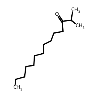 CCCCCCCCCCCC(=O)[C](C)C